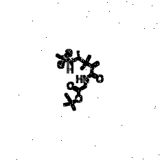 C=C(C(=O)NCC(=O)OC(C)(C)C)C(C)(C)[C@H](C)NS(C)(=O)=O